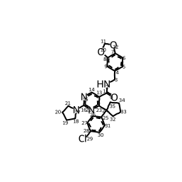 O=C(NCc1ccc2c(c1)OCO2)c1cnc(N2CCCC2)nc1C1(c2ccc(Cl)cc2)CCCC1